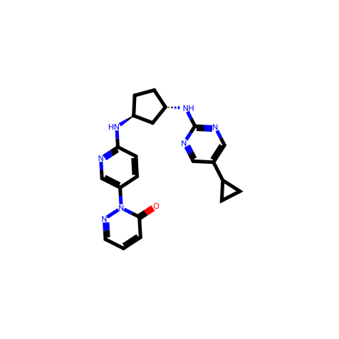 O=c1cccnn1-c1ccc(N[C@H]2CC[C@H](Nc3ncc(C4CC4)cn3)C2)nc1